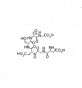 N[C@@H](CC(=O)O)C(=O)NCC(=O)N[C@@H](CC(=O)O)C(=O)N[C@@H](CO)C(=O)N[C@@H](CO)C(=O)NCC(=O)O